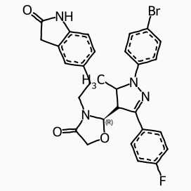 CC1C([C@H]2OCC(=O)N2CCc2ccc3c(c2)CC(=O)N3)C(c2ccc(F)cc2)=NN1c1ccc(Br)cc1